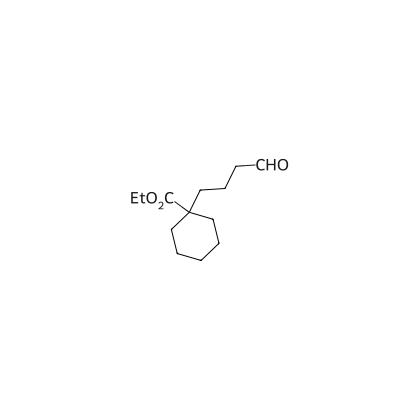 CCOC(=O)C1(CCCC=O)CCCCC1